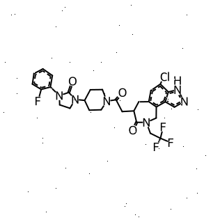 O=C(CC1Cc2cc(Cl)c3[nH]ncc3c2CN(CC(F)(F)F)C1=O)N1CCC(N2CCN(c3ccccc3F)C2=O)CC1